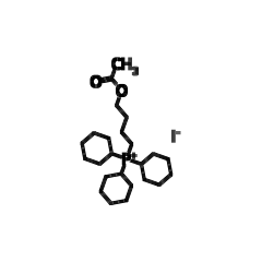 CC(=O)OCCCC[P+](C1CCCCC1)(C1CCCCC1)C1CCCCC1.[I-]